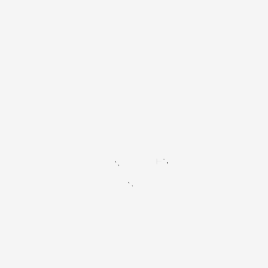 C/N=N\C(=C/NC)c1ccccc1